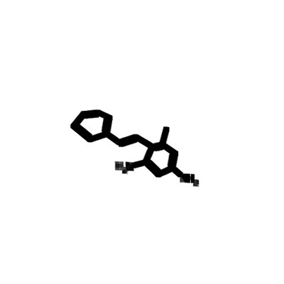 Cc1cc(N)cc(N)c1C=Cc1ccccc1